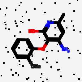 COc1ccccc1Oc1c(N)cc(C)nc1O